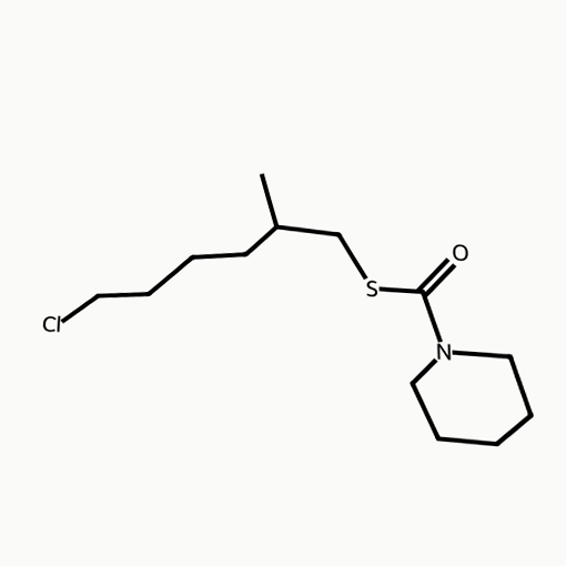 CC(CCCCCl)CSC(=O)N1CCCCC1